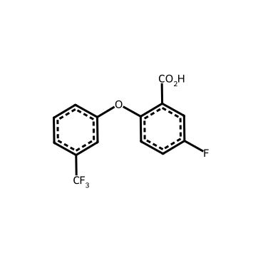 O=C(O)c1cc(F)ccc1Oc1cccc(C(F)(F)F)c1